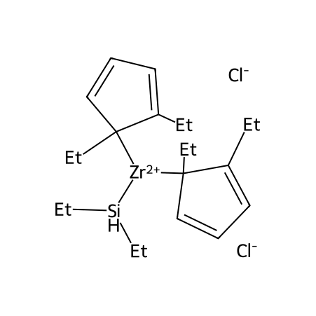 CCC1=CC=C[C]1(CC)[Zr+2]([SiH](CC)CC)[C]1(CC)C=CC=C1CC.[Cl-].[Cl-]